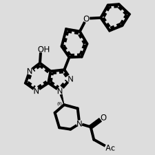 CC(=O)CC(=O)N1CCC[C@@H](n2nc(-c3ccc(Oc4ccccc4)cc3)c3c(O)ncnc32)C1